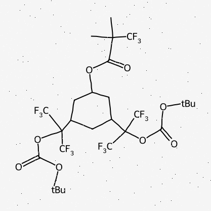 CC(C)(C)OC(=O)OC(C1CC(OC(=O)C(C)(C)C(F)(F)F)CC(C(OC(=O)OC(C)(C)C)(C(F)(F)F)C(F)(F)F)C1)(C(F)(F)F)C(F)(F)F